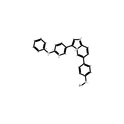 CC(C)Oc1ccc(-c2ccc3ncc(-c4ccc(Oc5ccccc5)nc4)n3c2)cc1